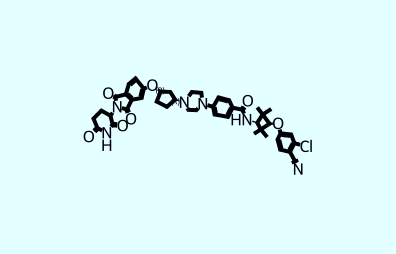 CC1(C)[C@H](NC(=O)c2ccc(N3CCN([C@@H]4CC[C@@H](Oc5ccc6c(c5)C(=O)N(C5CCC(=O)NC5=O)C6=O)C4)CC3)cc2)C(C)(C)[C@H]1Oc1ccc(C#N)c(Cl)c1